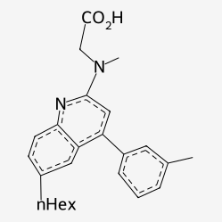 CCCCCCc1ccc2nc(N(C)CC(=O)O)cc(-c3cccc(C)c3)c2c1